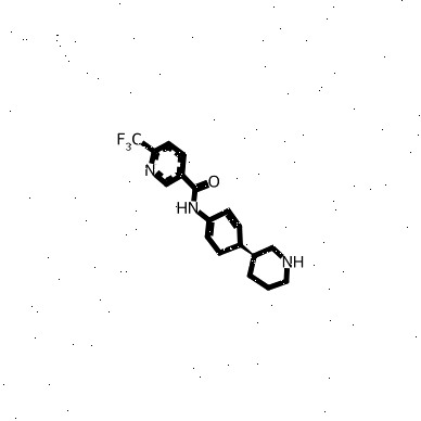 O=C(NC1=CCC([C@@H]2CCCNC2)C=C1)c1ccc(C(F)(F)F)nc1